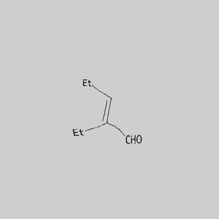 CC/C=C(/C=O)CC